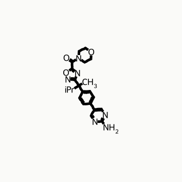 CC(C)C(C)(c1ccc(-c2cnc(N)nc2)cc1)c1noc(C(=O)N2CCOCC2)n1